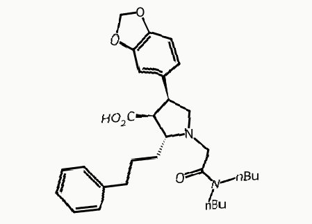 CCCCN(CCCC)C(=O)CN1C[C@H](c2ccc3c(c2)OCO3)[C@H](C(=O)O)[C@H]1CCCc1ccccc1